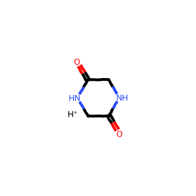 O=C1CNC(=O)CN1.[H+]